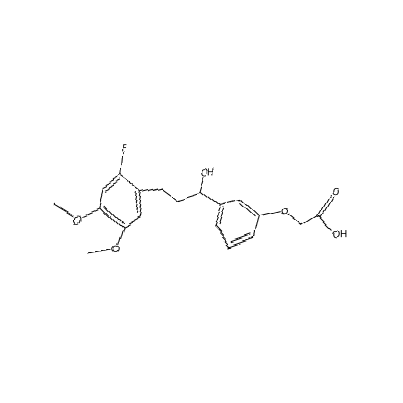 COc1cc(F)c(CCC(O)c2cccc(OCC(=O)O)c2)cc1OC